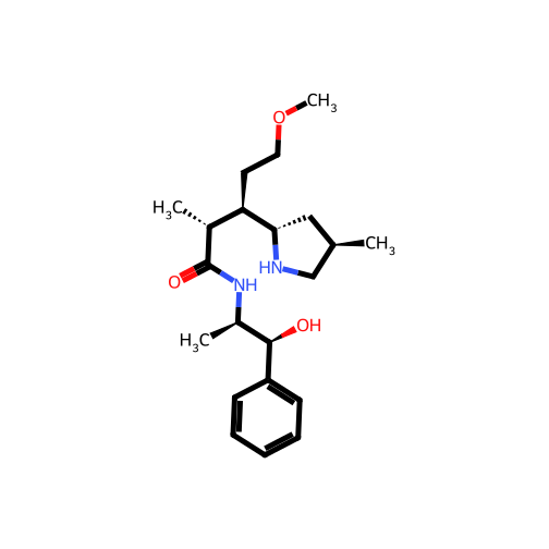 COCC[C@@H]([C@@H]1C[C@@H](C)CN1)[C@@H](C)C(=O)N[C@H](C)[C@@H](O)c1ccccc1